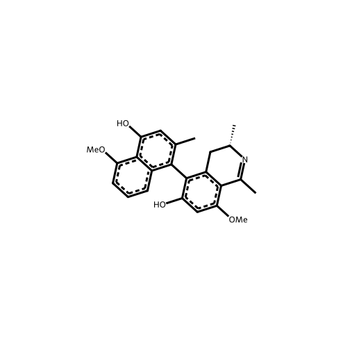 COc1cc(O)c(-c2c(C)cc(O)c3c(OC)cccc23)c2c1C(C)=N[C@@H](C)C2